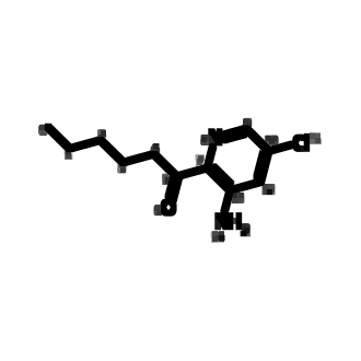 CCCCCC(=O)c1ncc(Cl)cc1N